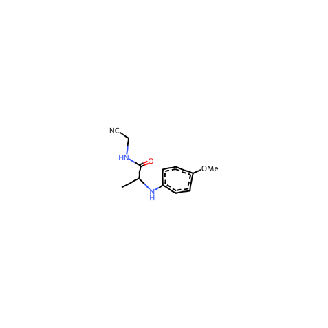 COc1ccc(NC(C)C(=O)NCC#N)cc1